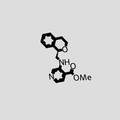 COC(=O)c1ccncc1NC[C@@H]1OCCc2ccccc21